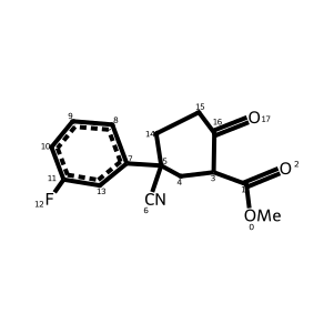 COC(=O)C1CC(C#N)(c2cccc(F)c2)CCC1=O